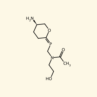 CC(=O)N(CCO)CP=C1CC[C@@H](N)CO1